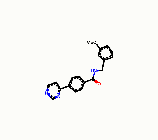 COc1cccc(CNC(=O)c2ccc(-c3ccncn3)cc2)c1